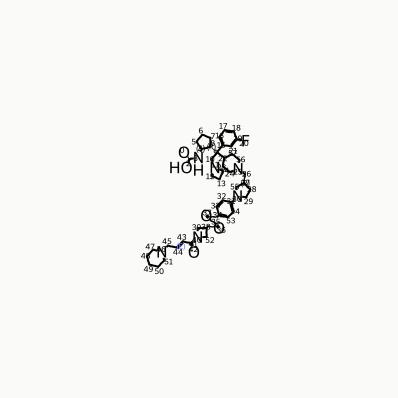 O=C(O)N[C@H]1CCC[C@@H]1C(CN1CCC1)(c1cccc(F)c1)C1CCN(C[C@H]2CCN(c3ccc(S(=O)(=O)C4CN(C(=O)/C=C/CN5CCCCC5)C4)cc3)C2)CC1